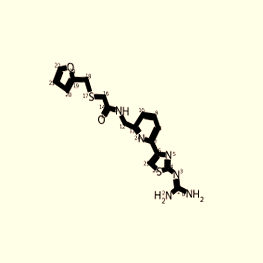 NC(N)=Nc1nc(-c2cccc(CNC(=O)CSCc3ccco3)n2)cs1